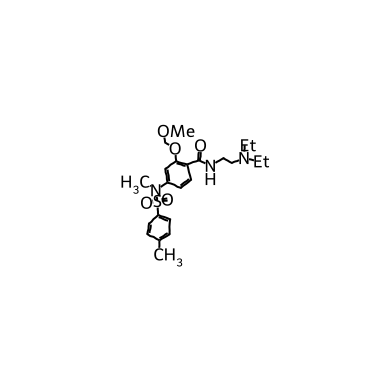 CCN(CC)CCNC(=O)c1ccc(N(C)S(=O)(=O)c2ccc(C)cc2)cc1OCOC